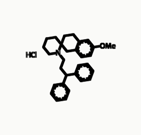 COc1ccc2c(c1)CCC1(CCCCN1CCC(c1ccccc1)c1ccccc1)C2.Cl